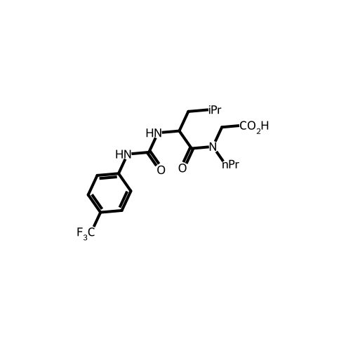 CCCN(CC(=O)O)C(=O)C(CC(C)C)NC(=O)Nc1ccc(C(F)(F)F)cc1